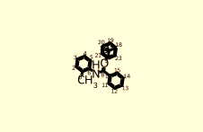 Cc1ccccc1NC(=O)c1ccccc1.O=C1c2cccc1c2